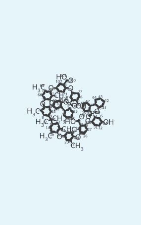 Cc1cc(Oc2c(C)cc(C(C)(C)c3cc(C)c(Oc4cc(C)c(Oc5ccc(Oc6ccc(O)cc6P6(=O)Oc7ccccc7-c7ccccc76)c(C(=O)O)c5)c(C)c4)c(C)c3)cc2C)cc(C)c1Oc1ccc(Oc2ccc(O)c(P3(=O)Oc4ccccc4-c4ccccc43)c2)c(C(=O)O)c1